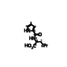 CC(C)C[C@H](NC(=O)c1ccc[nH]1)C(=O)O